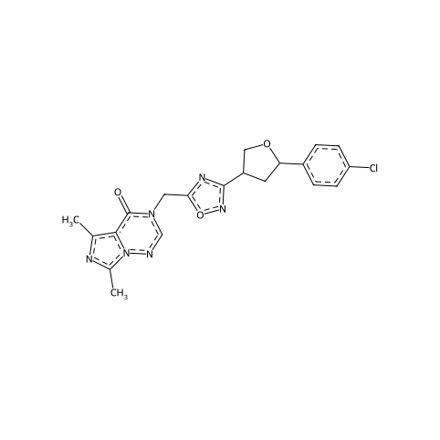 Cc1nc(C)n2ncn(Cc3nc(C4COC(c5ccc(Cl)cc5)C4)no3)c(=O)c12